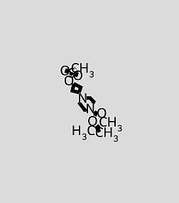 CC(C)(C)OC(=O)N1CCN(C2CC(OS(C)(=O)=O)C2)CC1